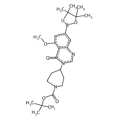 COc1cc(B2OC(C)(C)C(C)(C)O2)cc2ncn(C3CCN(C(=O)OC(C)(C)C)CC3)c(=O)c12